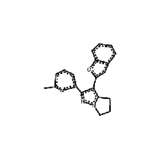 Cc1cccc(-c2nn3c(c2-c2cc4ccccc4o2)CCC3)n1